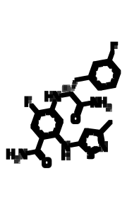 Cc1cc(Nc2cc(N[C@H](Cc3cccc(F)c3)C(N)=O)c(F)cc2C(N)=O)sn1